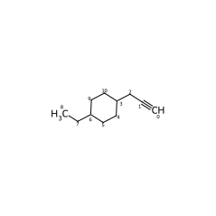 C#CCC1CCC(CC)CC1